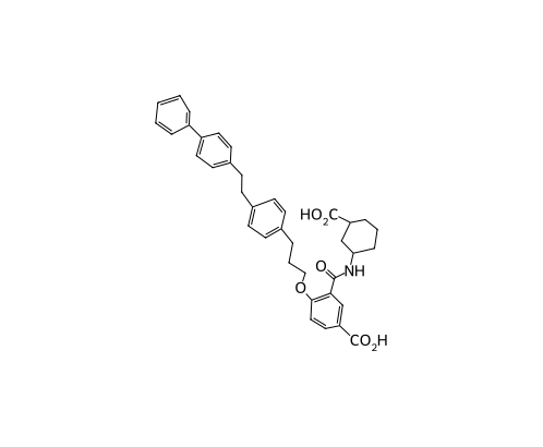 O=C(O)c1ccc(OCCCc2ccc(CCc3ccc(-c4ccccc4)cc3)cc2)c(C(=O)NC2CCCC(C(=O)O)C2)c1